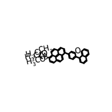 CC1(C)OB(c2ccc3ccc4c(-c5ccc6c(c5)Oc5cccc7cccc-6c57)ccc5ccc2c3c54)OC1(C)C